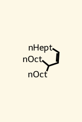 CCCCCCC/C=C\C(CCCCCCCC)CCCCCCCC